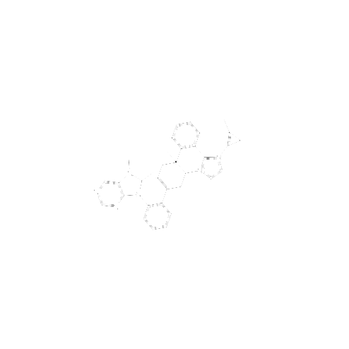 CC1=C(n2cc[n+]3c2-c2ccccc2C2(C)CC=C(c4ccccc4N4c5ncncc5N(C)C4C)CC32)[C@H]1C